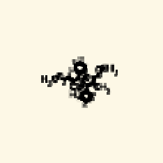 COCC=C(C)C(c1ccccc1)S(=O)(=O)C(C(C)=CCOC)c1ccccc1